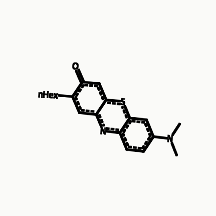 CCCCCCc1cc2nc3ccc(N(C)C)cc3sc-2cc1=O